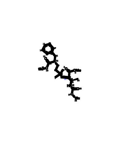 COC(=O)/C(=C\C(C)(C)CCN(Cc1ccccc1)C(=O)OC(C)(C)C)[C@@H](C)NC(=O)OC(C)(C)C